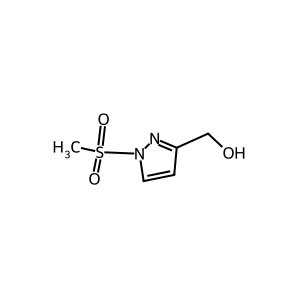 CS(=O)(=O)n1ccc(CO)n1